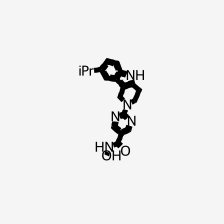 CC(C)c1ccc2[nH]c3c(c2c1)CN(c1ncc(C(=O)NO)cn1)CC3